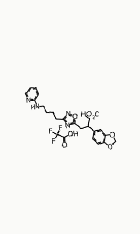 O=C(O)C(F)(F)F.O=C(O)CC(Cc1nc(CCCCNc2ccccn2)no1)c1ccc2c(c1)OCO2